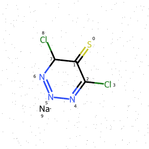 S=C1C(Cl)=NN=NC1Cl.[Na]